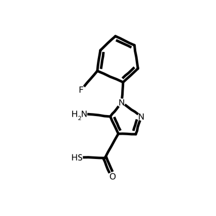 Nc1c(C(=O)S)cnn1-c1ccccc1F